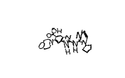 O=C(O)c1cc2nc(Nc3nccn3C3CCCC3)[nH]c2cc1N1CCOCC1